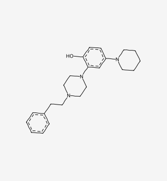 Oc1ccc(N2CCCCC2)cc1N1CCN(CCc2ccccc2)CC1